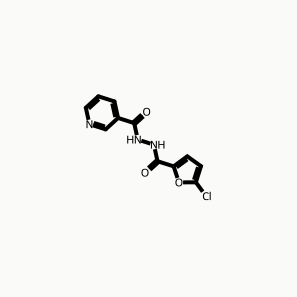 O=C(NNC(=O)c1ccc(Cl)o1)c1cccnc1